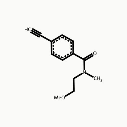 C#Cc1ccc(C(=O)N(C)CCOC)cc1